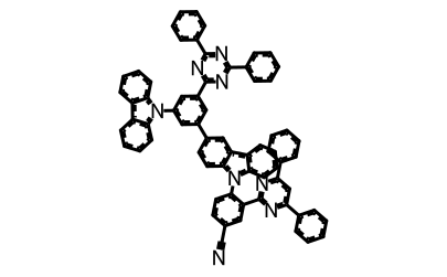 N#Cc1ccc(-n2c3ccccc3c3cc(-c4cc(-c5nc(-c6ccccc6)nc(-c6ccccc6)n5)cc(-n5c6ccccc6c6ccccc65)c4)ccc32)c(-c2nc(-c3ccccc3)cc(-c3ccccc3)n2)c1